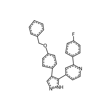 Fc1ccc(-c2cc(-c3[nH]ncc3-c3ccc(OCc4ccccc4)cc3)ccn2)cc1